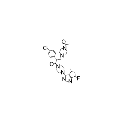 CC(=O)N1CCN(C[C@@H](C(=O)N2CCN(c3ncnc4c3[C@H](C)C[C@H]4F)CC2)c2ccc(Cl)cc2)CC1